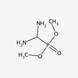 COP(=O)(OC)C(N)N